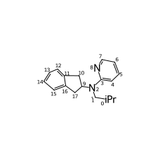 CC(C)[CH]N(c1ccccn1)C1Cc2ccccc2C1